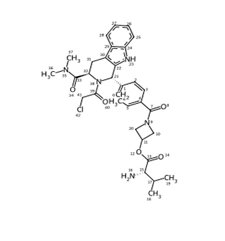 C=C(/C=C\C(=C/C)C(=O)N1CC(OC(=O)[C@@H](N)C(C)C)C1)[C@H]1c2[nH]c3ccccc3c2C[C@H](C(=O)N(C)C)N1C(=O)CCl